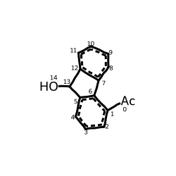 CC(=O)c1cccc2c1-c1ccccc1C2O